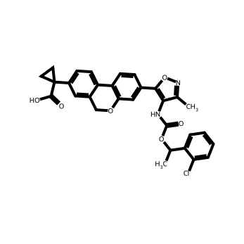 Cc1noc(-c2ccc3c(c2)OCc2cc(C4(C(=O)O)CC4)ccc2-3)c1NC(=O)OC(C)c1ccccc1Cl